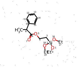 CCO[Si](CCOC(=O)C(C)c1ccccc1)(OCC)OCC